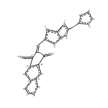 O=C1C(=Cc2nc3sc(-c4cccs4)nc3s2)C(=O)c2cc3ccccc3cc21